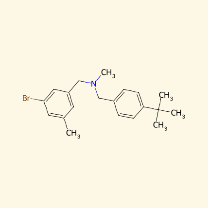 Cc1cc(Br)cc(CN(C)Cc2ccc(C(C)(C)C)cc2)c1